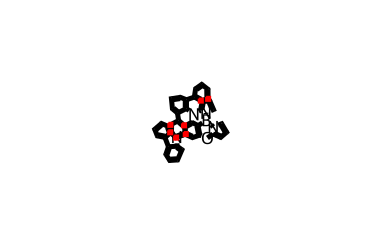 c1ccc(-c2cccc(-c3ccccc3)c2N2c3cc(-n4c5ccccc5c5ccccc54)cc4c3B(n3cccc3O4)n3cccc32)cc1